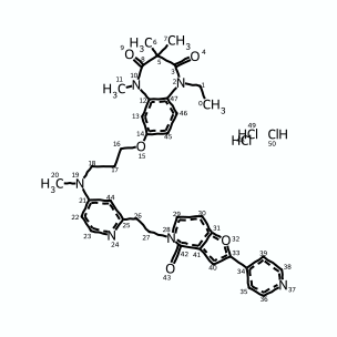 CCN1C(=O)C(C)(C)C(=O)N(C)c2cc(OCCCN(C)c3ccnc(CCn4ccc5oc(-c6ccncc6)cc5c4=O)c3)ccc21.Cl.Cl.Cl